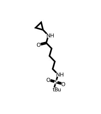 CC(C)(C)S(=O)(=O)NCCCCC(=O)NC1CC1